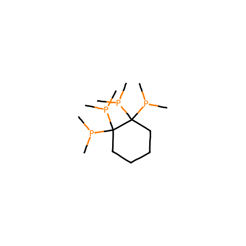 CP(C)C1(P(C)C)CCCCC1(P(C)C)P(C)C